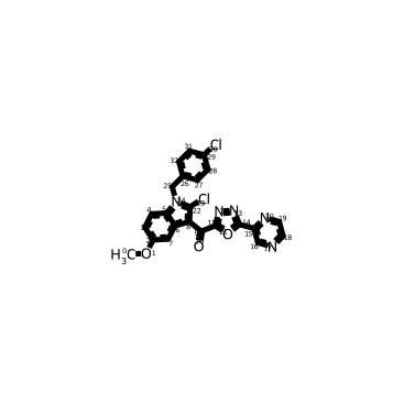 COc1ccc2c(c1)c(C(=O)c1nnc(-c3cnccn3)o1)c(Cl)n2Cc1ccc(Cl)cc1